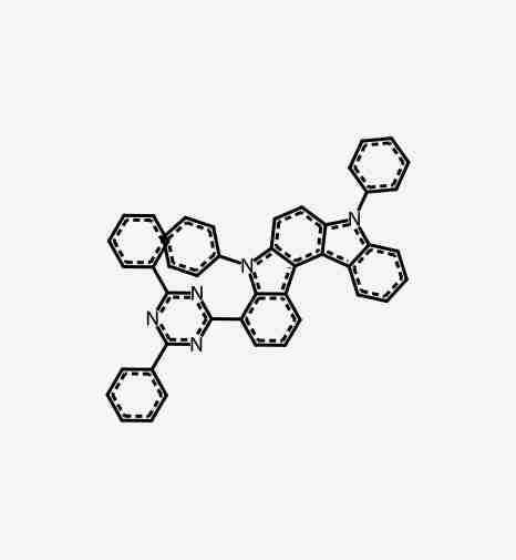 c1ccc(-c2nc(-c3ccccc3)nc(-c3cccc4c5c6c7ccccc7n(-c7ccccc7)c6ccc5n(-c5ccccc5)c34)n2)cc1